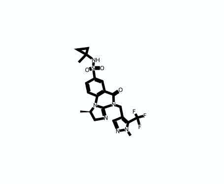 C[C@@H]1CN=C2N(Cc3cnn(C)c3C(F)(F)F)C(=O)c3cc(S(=O)(=O)NC4(C)CC4)ccc3N21